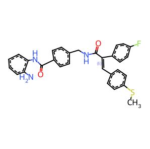 CSc1ccc(/C=C(/C(=O)NCc2ccc(C(=O)Nc3ccccc3N)cc2)c2ccc(F)cc2)cc1